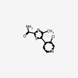 Cc1nc(C(N)=O)sc1-c1ccncc1Cl